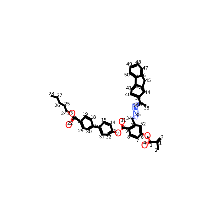 C=C(C)C(=O)Oc1ccc(C(=O)Oc2ccc(-c3ccc(C(=O)OCCCCC)cc3)cc2)c(/C=N/N=C(\C)c2ccc3c(c2)Cc2ccccc2-3)c1